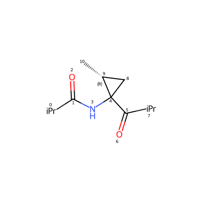 CC(C)C(=O)NC1(C(=O)C(C)C)C[C@H]1C